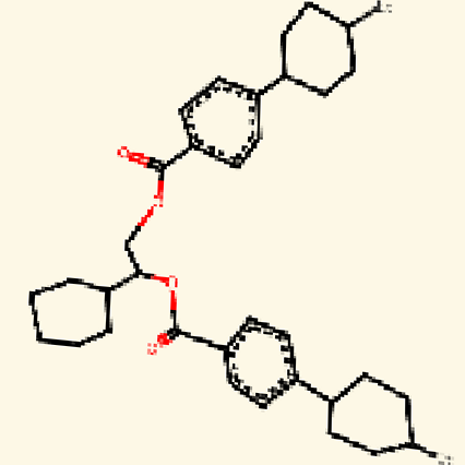 CCC1CCC(c2ccc(C(=O)OCC(OC(=O)c3ccc(C4CCC(CC)CC4)cc3)C3CCCCC3)cc2)CC1